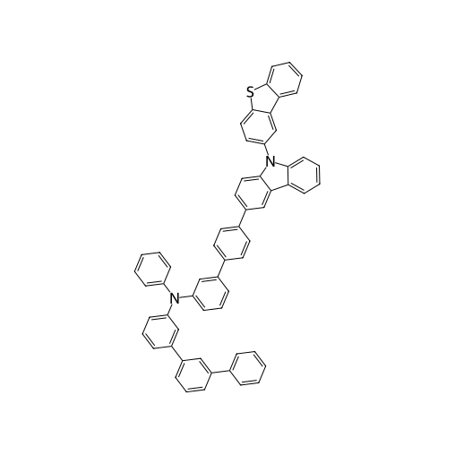 c1ccc(-c2cccc(-c3cccc(N(c4ccccc4)c4cccc(-c5ccc(-c6ccc7c(c6)c6ccccc6n7-c6ccc7sc8ccccc8c7c6)cc5)c4)c3)c2)cc1